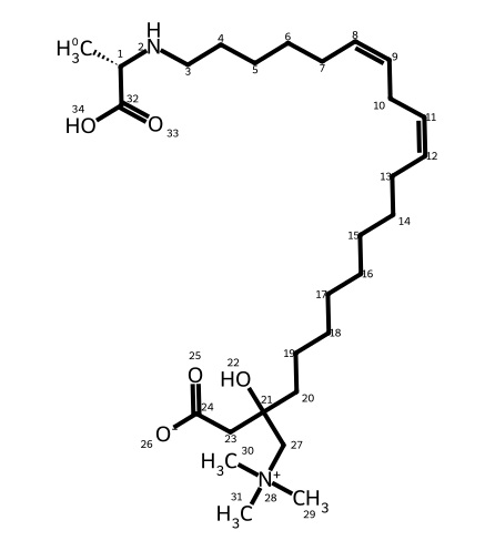 C[C@H](NCCCCC/C=C\C/C=C\CCCCCCCCC(O)(CC(=O)[O-])C[N+](C)(C)C)C(=O)O